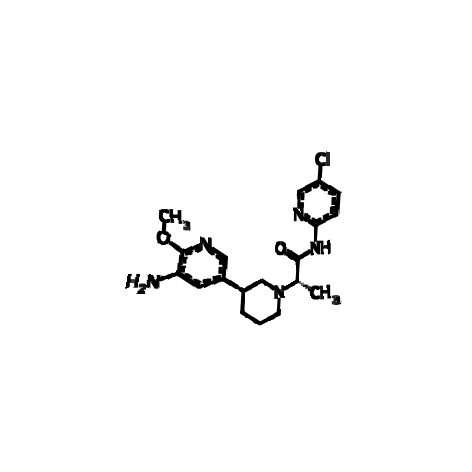 COc1ncc(C2CCCN([C@@H](C)C(=O)Nc3ccc(Cl)cn3)C2)cc1N